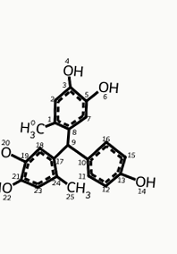 Cc1cc(O)c(O)cc1C(c1ccc(O)cc1)c1cc(O)c(O)cc1C